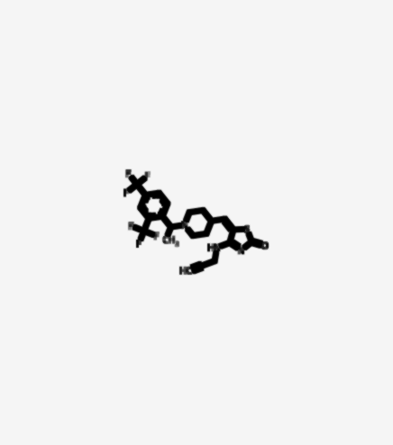 C#CCNC1=NC(=O)SC1=CC1CCN(C(C)c2ccc(C(F)(F)F)cc2C(F)(F)F)CC1